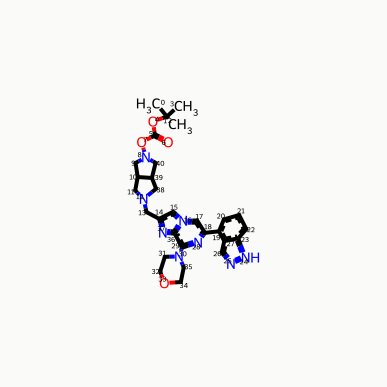 CC(C)(C)OC(=O)ON1CC2CN(Cc3cn4cc(-c5cccc6[nH]ncc56)nc(N5CCOCC5)c4n3)CC2C1